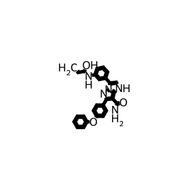 C=CC(O)Nc1cccc(-c2c[nH]c3c(C(N)=O)c(-c4ccc(Oc5ccccc5)cc4)nn23)c1